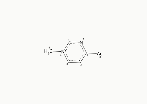 CC(=O)c1cc[n+](C)cn1